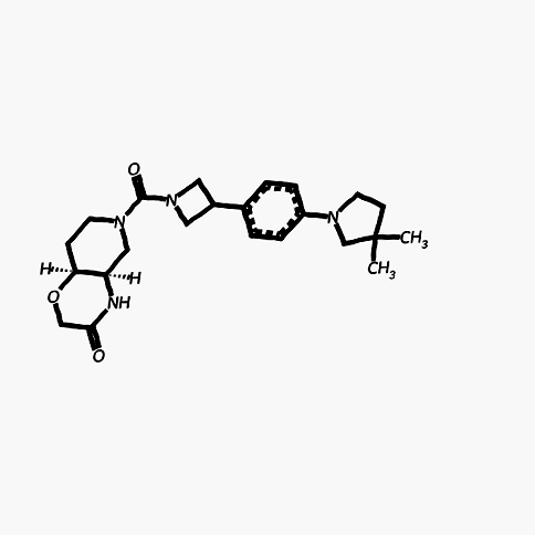 CC1(C)CCN(c2ccc(C3CN(C(=O)N4CC[C@@H]5OCC(=O)N[C@@H]5C4)C3)cc2)C1